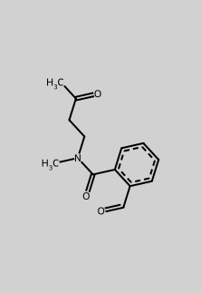 CC(=O)CCN(C)C(=O)c1ccccc1C=O